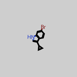 Brc1ccc2c(C3CC3)c[nH]c2c1